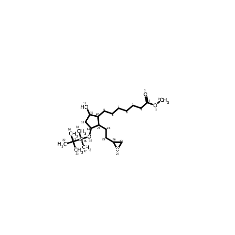 COC(=O)CCCCCCC1C(O)CC(O[Si](C)(C)C(C)(C)C)C1CCC1CO1